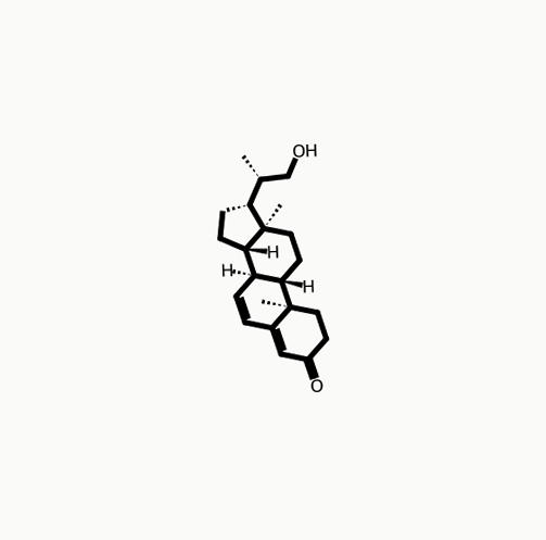 C[C@H](CO)[C@H]1CC[C@H]2[C@@H]3C=CC4=CC(=O)CC[C@]4(C)[C@H]3CC[C@]12C